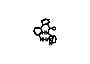 CC(=O)Nc1cccc(-c2ccsc2C(=O)NC2CN3CCC2CC3)c1